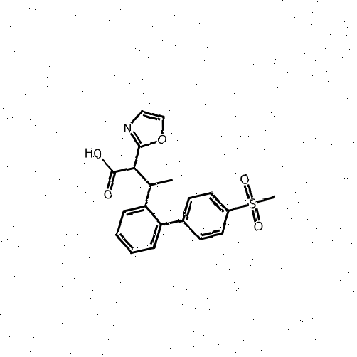 CC(c1ccccc1-c1ccc(S(C)(=O)=O)cc1)C(C(=O)O)c1ncco1